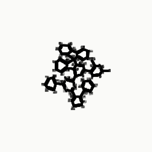 Cc1ccc(-c2cc(-c3nc(-c4ccccc4)nc(-c4ccccc4-c4ccccc4)n3)c3c(c2)C2(c4ccccc4-c4ccccc42)c2ccccc2-3)c(C)n1